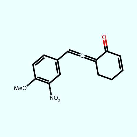 COc1ccc(C=C=C2CCC=CC2=O)cc1[N+](=O)[O-]